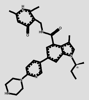 CC[C@H](C)n1cc(C)c2c(C(=O)NCc3c(C)[nH]c(C)cc3=O)cc(-c3ccc(N4CCNCC4)nc3)cc21